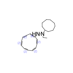 CCN(NC1=C/C=C\C=C/C=C\C=C/C=C\1)C1CCCCCCCC1